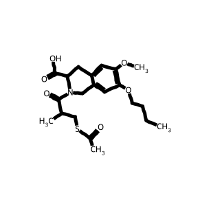 CCCCOc1cc2c(cc1OC)CC(C(=O)O)N(C(=O)C(C)CSC(C)=O)C2